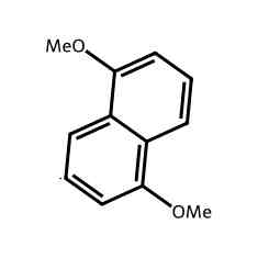 COc1cccc2c(OC)c[c]cc12